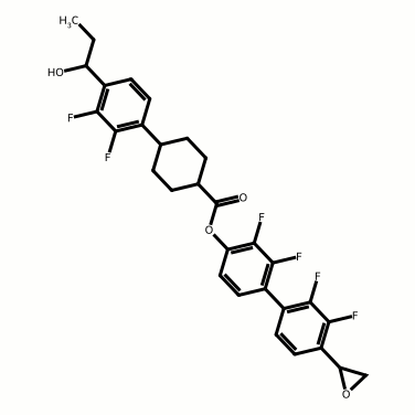 CCC(O)c1ccc(C2CCC(C(=O)Oc3ccc(-c4ccc(C5CO5)c(F)c4F)c(F)c3F)CC2)c(F)c1F